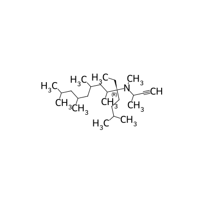 C#CC(C)N(C)[C@](CC)(CCC(C)C)C(C)CC(C)CC(C)CC(C)C